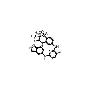 CC1(C)C(=O)Nc2cc(Nc3nc(Nc4ccc5oncc5c4)ncc3F)ccc2S1(=O)=O